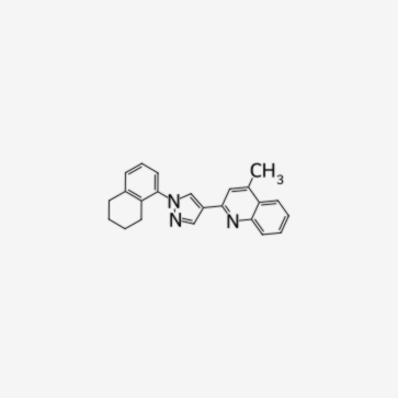 Cc1cc(-c2cnn(-c3cccc4c3CCCC4)c2)nc2ccccc12